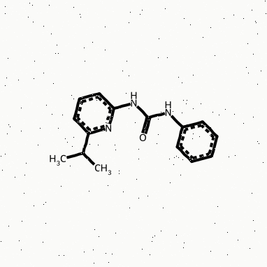 CC(C)c1cccc(NC(=O)Nc2ccccc2)n1